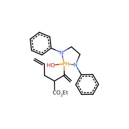 C=CCC(C(=C)[PH]1(O)N(c2ccccc2)CCN1c1ccccc1)C(=O)OCC